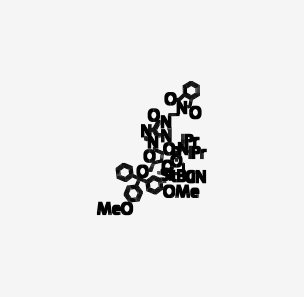 COc1ccc(C(OC[C@H]2O[C@@H](n3cnc4c(=O)n(CCN5C(=O)c6ccccc6C5=O)cnc43)[C@H](OP(OCCC#N)N(C(C)C)C(C)C)[C@@H]2O[Si](C)(C)C(C)(C)C)(c2ccccc2)c2ccc(OC)cc2)cc1